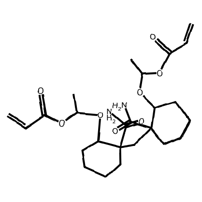 C=CC(=O)OC(C)OC1CCCCC1(CC1(C(N)=O)CCCCC1OC(C)OC(=O)C=C)C(N)=O